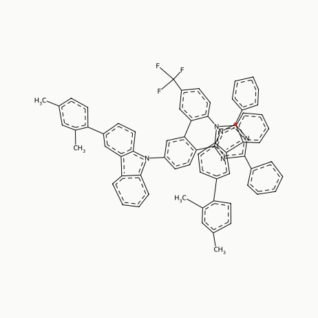 Cc1ccc(-c2ccc3c(c2)c2ccccc2n3-c2ccc(-c3nc(-c4ccccc4)nc(-c4ccccc4)n3)c(-c3cc(C(F)(F)F)ccc3-n3c4ccccc4c4cc(-c5ccc(C)cc5C)ccc43)c2)c(C)c1